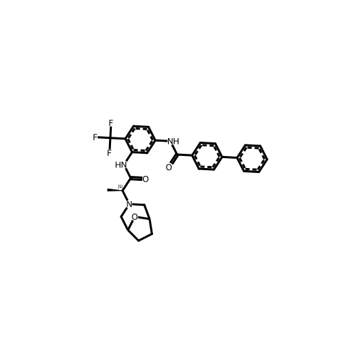 C[C@@H](C(=O)Nc1cc(NC(=O)c2ccc(-c3ccccc3)cc2)ccc1C(F)(F)F)N1CC2CCC(C1)O2